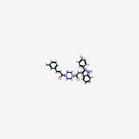 Cc1cccc(/C=C/C(=O)N2CCN(C(=O)Cc3c(-c4ccc(F)cc4)[nH]c4ccccc34)CC2)c1